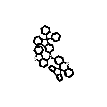 c1ccc(C2(c3ccccc3)c3ccccc3-c3cc(N(c4ccc5c(c4)C4(c6ccccc6S5)c5ccccc5-c5ccccc54)c4cccc5sc6ccccc6c45)ccc32)cc1